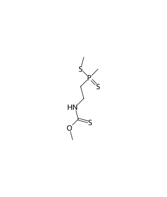 COC(=S)NCCP(C)(=S)SC